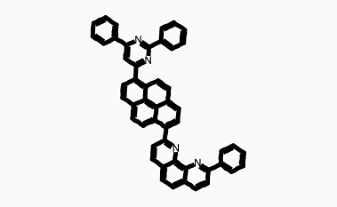 c1ccc(-c2cc(-c3ccc4ccc5c(-c6ccc7ccc8ccc(-c9ccccc9)nc8c7n6)ccc6ccc3c4c65)nc(-c3ccccc3)n2)cc1